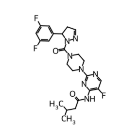 CC(C)CC(=O)Nc1nc(N2CCN(C(=O)N3N=CCC3c3cc(F)cc(F)c3)CC2)ncc1F